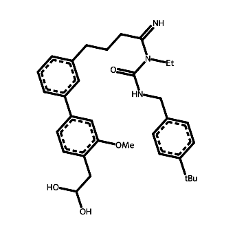 CCN(C(=N)CCCc1cccc(-c2ccc(CC(O)O)c(OC)c2)c1)C(=O)NCc1ccc(C(C)(C)C)cc1